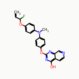 C=CC(F)Oc1ccc(N(C)c2ccc(Oc3nc(O)c4ccncc4n3)cc2)cc1